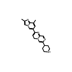 Cc1cn2cc(C3=CCN4C=C(C5CCNCC5)N=CC4=N3)cc(C)c2n1